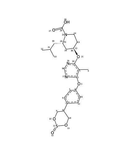 Cc1c(Oc2ccc(C3COS(=O)OC3)cc2)ncnc1O[C@@H]1CCN(C(=O)O)[C@@H](CC(C)C)C1